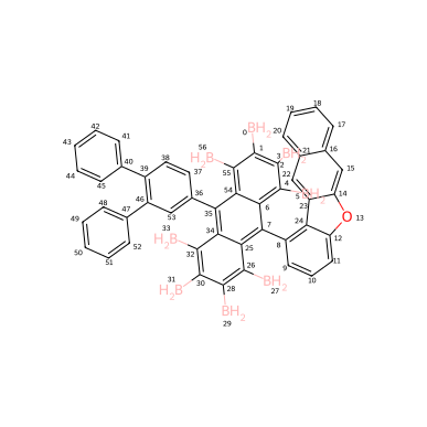 Bc1c(B)c(B)c2c(-c3cccc4oc5cc6ccccc6cc5c34)c3c(B)c(B)c(B)c(B)c3c(-c3ccc(-c4ccccc4)c(-c4ccccc4)c3)c2c1B